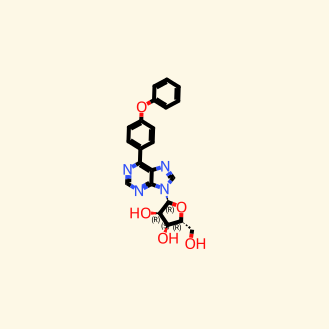 OC[C@H]1O[C@@H](n2cnc3c(-c4ccc(Oc5ccccc5)cc4)ncnc32)[C@H](O)[C@@H]1O